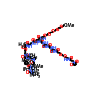 CC[C@H](C)[C@@H]([C@@H](CC(=O)N1CCC[C@H]1[C@H](OC)[C@@H](C)C(=O)N[C@@H](Cc1ccccc1)C(=O)NCCCOC(=O)C(C)NC(=O)CCNC(=O)OCC(NC(=O)CNC(=O)CNC(=O)CNC(=O)CNC(=O)CCOCCOCCNC(=O)CCN1C(=O)C=CC1=O)C(=O)NCCOCCOCCOCCOCCOCCOC)OC)N(C)C(=O)[C@@H](NC(=O)[C@H](C(C)C)N(C)C)C(C)C